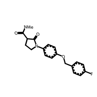 CNC(=O)C1CCN(c2ccc(OCc3ccc(F)cc3)cc2)C1=O